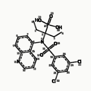 CCC(CC)(N(c1cccc2ncccc12)S(=O)(=O)c1cc(Cl)cc(Cl)c1)P(=O)(O)O